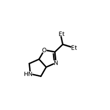 CCC(CC)C1=NC2CNCC2O1